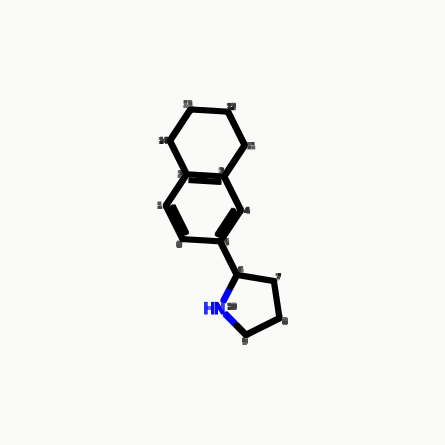 c1cc2c(cc1C1CCCN1)CCCC2